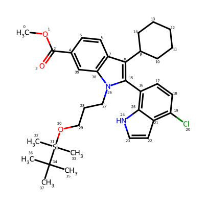 COC(=O)c1ccc2c(C3CCCCC3)c(-c3ccc(Cl)c4cc[nH]c34)n(CCCO[Si](C)(C)C(C)(C)C)c2c1